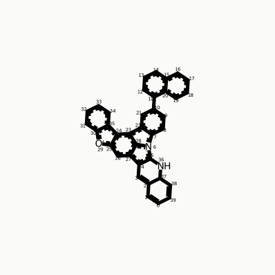 C1=CC2=Cc3c(n4c5ccc(-c6cccc7ccccc67)cc5c5c6c(cc3c54)oc3ccccc36)NC2C=C1